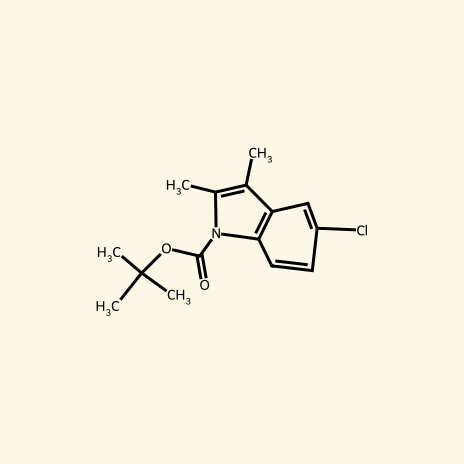 Cc1c(C)n(C(=O)OC(C)(C)C)c2ccc(Cl)cc12